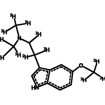 [2H]C(N(C([2H])([2H])[2H])C([2H])([2H])[2H])C([2H])([2H])c1c[nH]c2ccc(OC([2H])([2H])[2H])cc12